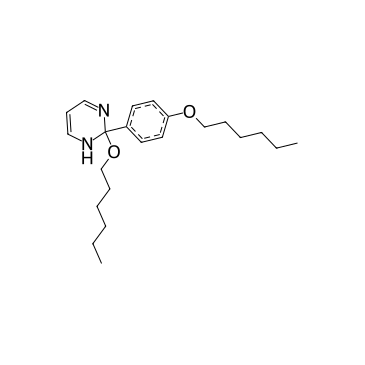 CCCCCCOc1ccc(C2(OCCCCCC)N=CC=CN2)cc1